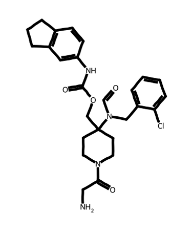 NCC(=O)N1CCC(COC(=O)Nc2ccc3c(c2)CCC3)(N(C=O)Cc2ccccc2Cl)CC1